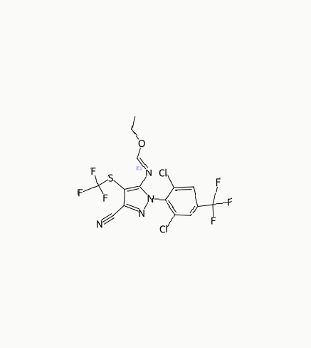 CCO/C=N/c1c(SC(F)(F)F)c(C#N)nn1-c1c(Cl)cc(C(F)(F)F)cc1Cl